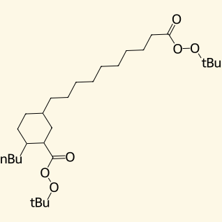 CCCCC1CCC(CCCCCCCCCC(=O)OOC(C)(C)C)CC1C(=O)OOC(C)(C)C